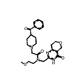 COCCN(Cc1nc2c(c(=O)[nH]1)COCC2)C(=O)CN1CCC(C(=O)c2ccccc2)CC1